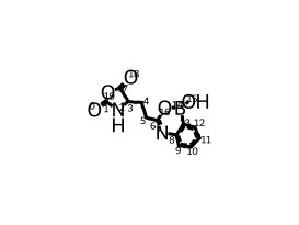 O=C1NC(CCC2=Nc3ccccc3B(O)O2)C(=O)O1